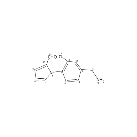 NCc1ccc(-n2cccc2C=O)c(Cl)c1